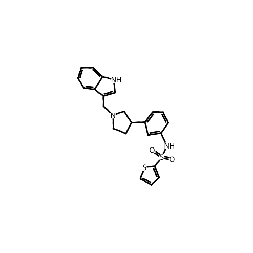 O=S(=O)(Nc1cccc(C2CCN(Cc3c[nH]c4ccccc34)C2)c1)c1cccs1